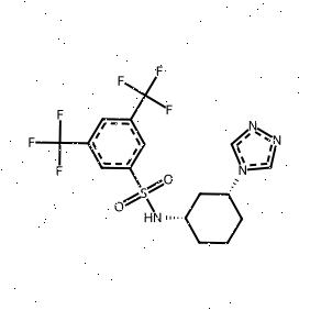 O=S(=O)(N[C@H]1CCC[C@@H](n2cnnc2)C1)c1cc(C(F)(F)F)cc(C(F)(F)F)c1